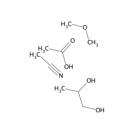 CC#N.CC(=O)O.CC(O)CO.COC